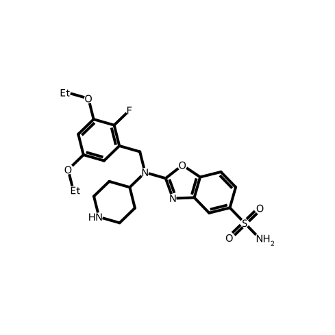 CCOc1cc(CN(c2nc3cc(S(N)(=O)=O)ccc3o2)C2CCNCC2)c(F)c(OCC)c1